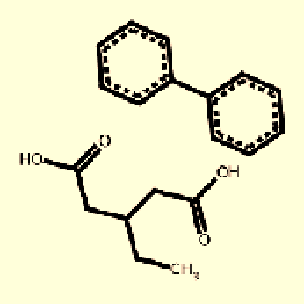 CCC(CC(=O)O)CC(=O)O.c1ccc(-c2ccccc2)cc1